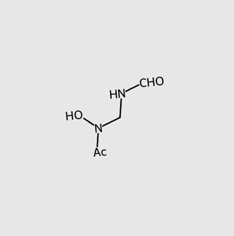 CC(=O)N(O)CNC=O